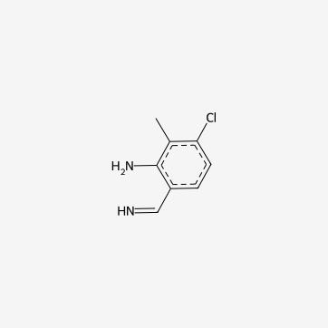 Cc1c(Cl)ccc(C=N)c1N